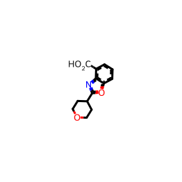 O=C(O)c1cccc2oc(C3CCOCC3)nc12